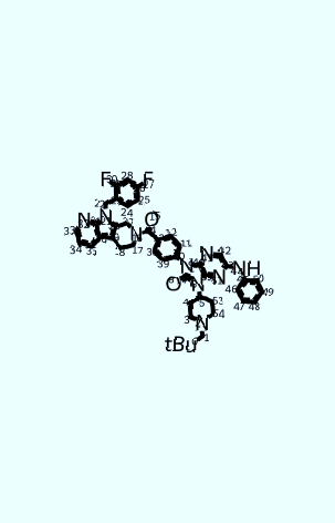 CC(C)(C)CN1CCC(n2c(=O)n(-c3ccc(C(=O)N4CCc5c(n(Cc6ccc(F)cc6F)c6ncccc56)C4)cc3)c3ncc(Nc4ccccc4)nc32)CC1